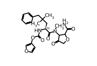 CN(C(=O)[C@H](CC(C)(C)Cc1ccccc1)NC(=O)Oc1ccoc1)C1C(=O)COC1C(N)=O